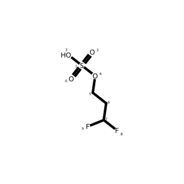 O=S(=O)(O)OCCC(F)F